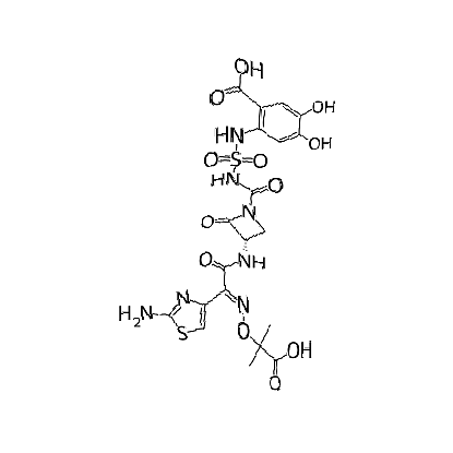 CC(C)(ON=C(C(=O)N[C@H]1CN(C(=O)NS(=O)(=O)Nc2cc(O)c(O)cc2C(=O)O)C1=O)c1csc(N)n1)C(=O)O